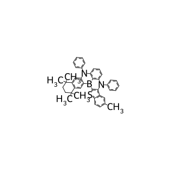 Cc1ccc2sc3c(c2c1)N(c1ccccc1)c1cccc2c1B3c1cc3c(cc1N2c1ccccc1)C(C)(C)CCC3(C)C